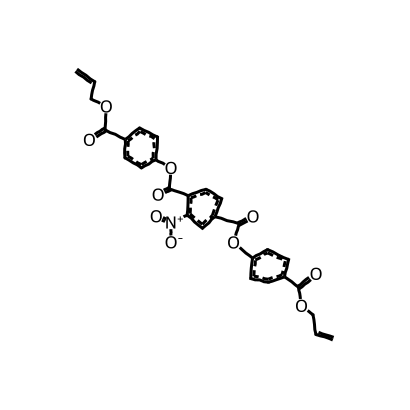 C=CCOC(=O)c1ccc(OC(=O)c2ccc(C(=O)Oc3ccc(C(=O)OCC=C)cc3)c([N+](=O)[O-])c2)cc1